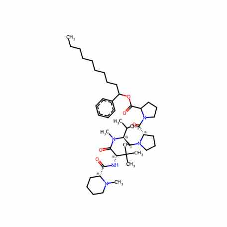 CCCCCCCCCC(OC(=O)C1CCCN1C(=O)[C@@H]1CCCN1C[C@H](C(C)C)N(C)C(=O)[C@@H](NC(=O)[C@H]1CCCCN1C)C(C)(C)C)c1ccccc1